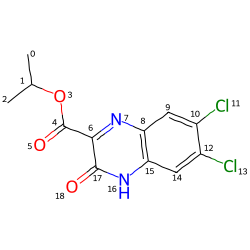 CC(C)OC(=O)c1nc2cc(Cl)c(Cl)cc2[nH]c1=O